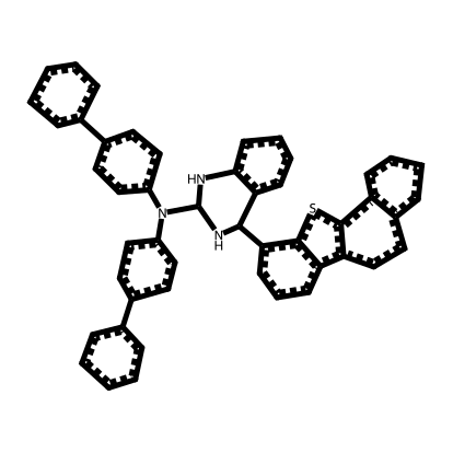 c1ccc(-c2ccc(N(c3ccc(-c4ccccc4)cc3)C3Nc4ccccc4C(c4cccc5c4sc4c6ccccc6ccc54)N3)cc2)cc1